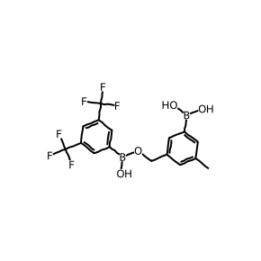 Cc1cc(COB(O)c2cc(C(F)(F)F)cc(C(F)(F)F)c2)cc(B(O)O)c1